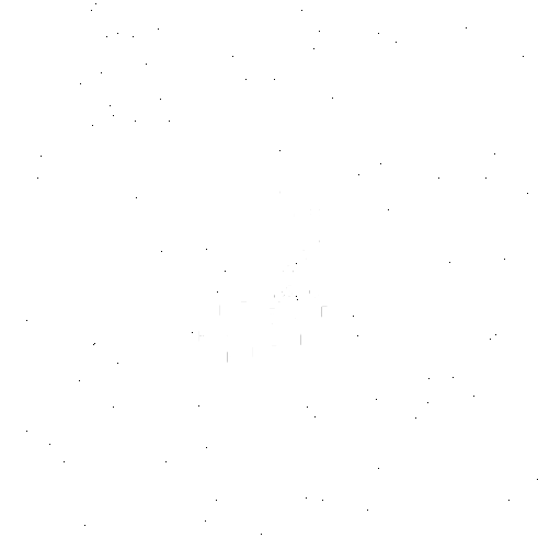 CC(C)(C)C(=O)CS(C)(OS(=O)(=O)C(F)(F)C(F)(F)C(F)(F)C(F)(F)F)C(C)(C)C